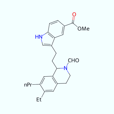 CCCc1cc2c(cc1CC)CCN(C=O)C2CCc1c[nH]c2ccc(C(=O)OC)cc12